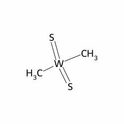 [CH3][W]([CH3])(=[S])=[S]